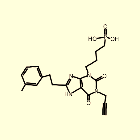 C#CCn1c(=O)c2[nH]c(CCc3cccc(C)c3)nc2n(CCCCP(=O)(O)O)c1=O